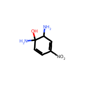 NC1C=C([N+](=O)[O-])C=CC1(N)O